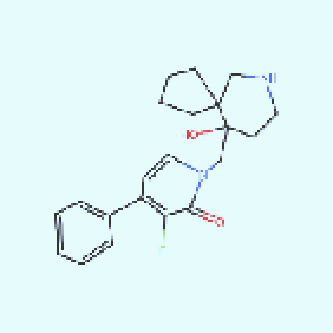 O=c1c(F)c(-c2ccccc2)ccn1CC1(O)CCNCC12CCCC2